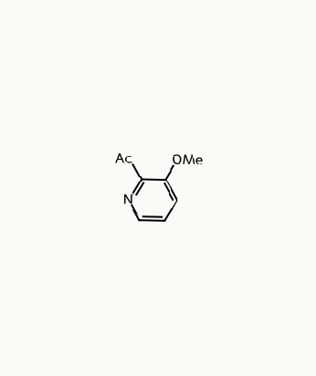 COc1cccnc1C(C)=O